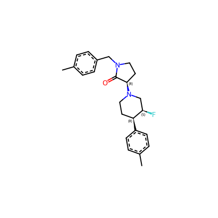 Cc1ccc(CN2CC[C@@H](N3CC[C@H](c4ccc(C)cc4)[C@H](F)C3)C2=O)cc1